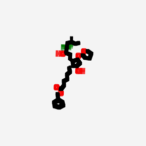 CC[C@H](C)CC(F)(F)C(O)CC[C@@H]1[C@@H](CCCCCCC(=O)OCc2ccccc2)[C@H](O)C[C@H]1OC1CCCCO1